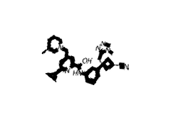 C[C@H]1CCCN(Cc2cc(C3CC3)nc(C(O)Nc3cccc([C@]4(Cc5nncn5C)C[C@@H](C#N)C4)c3)c2)C1